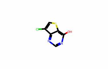 Oc1ncnc2c(Cl)csc12